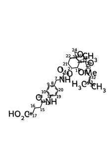 CO[C@@H]1[C@H](OC(=O)NCc2ccc(NC(=O)CCCC(=O)O)cc2)CC[C@]2(CO2)[C@H]1[C@@]1(C)O[C@@H]1CC=C(C)C